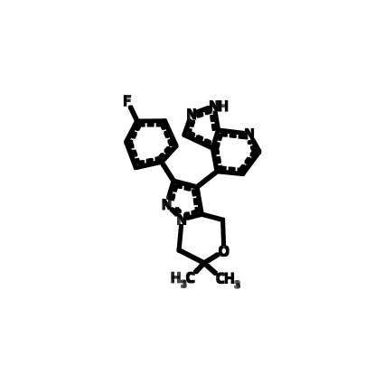 CC1(C)Cn2nc(-c3ccc(F)cc3)c(-c3ccnc4[nH]ncc34)c2CO1